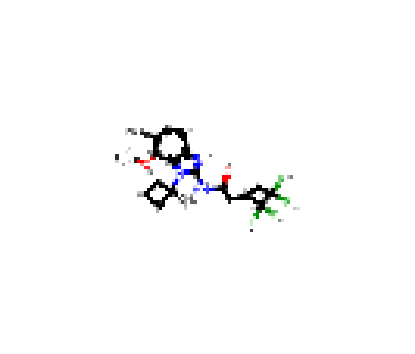 CC1(n2c(NC(=O)CC3CC(F)(F)C3(F)F)nc3ccc(C#N)c(OC(F)(F)F)c32)CCC1